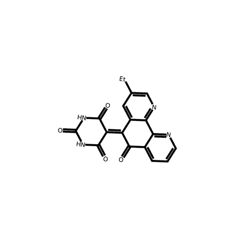 CCc1cnc2c(c1)C(=C1C(=O)NC(=O)NC1=O)C(=O)c1cccnc1-2